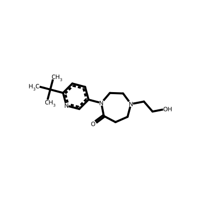 CC(C)(C)c1ccc(N2CCN(CCO)CCC2=O)cn1